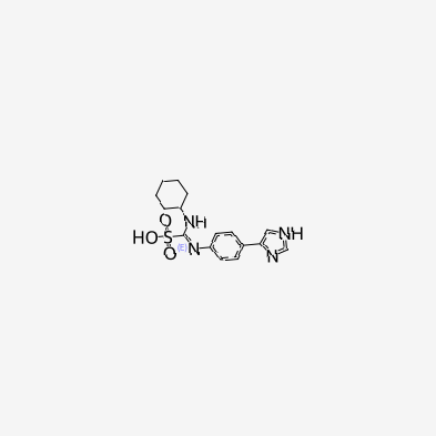 O=S(=O)(O)/C(=N/c1ccc(-c2c[nH]cn2)cc1)NC1CCCCC1